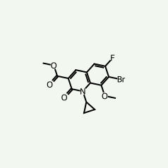 COC(=O)c1cc2cc(F)c(Br)c(OC)c2n(C2CC2)c1=O